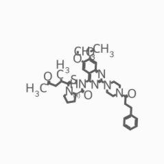 COc1cc2nc(N3CCN(C(=O)CCc4ccccc4)CC3)nc(NC(=O)[C@H]3CCCN3C(=S)C(C)CC(C)=O)c2cc1OC